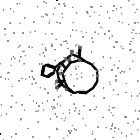 O=C1CC2/C=C/CCSSCC(NC(=O)C(Cc3ccccc3)N1)C(=O)NCCCCC(=O)O2